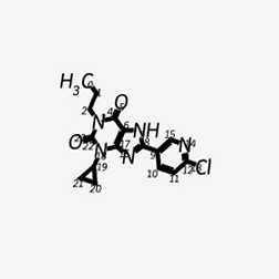 CCCn1c(=O)c2[nH]c(-c3ccc(Cl)nc3)nc2n(C2CC2)c1=O